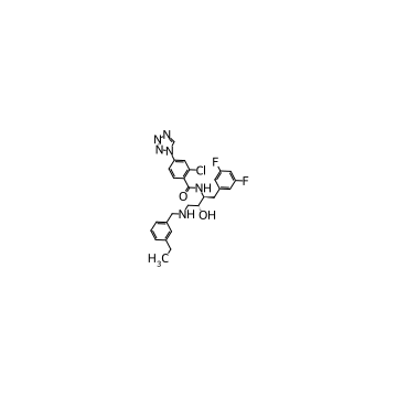 CCc1cccc(CNC[C@@H](O)[C@H](Cc2cc(F)cc(F)c2)NC(=O)c2ccc(-n3cnnn3)cc2Cl)c1